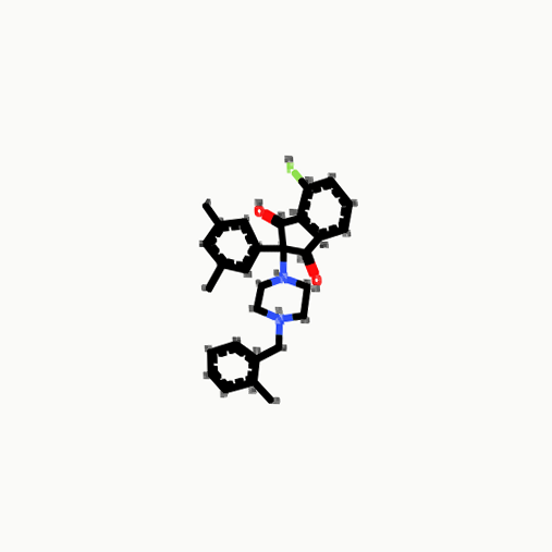 Cc1cc(C)cc(C2(N3CCN(Cc4ccccc4C)CC3)C(=O)c3cccc(F)c3C2=O)c1